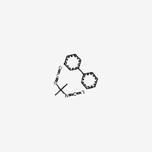 CC(C)(N=C=O)N=C=O.c1ccc(-c2ccccc2)cc1